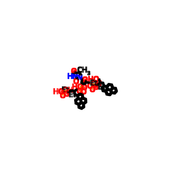 CCC(CC)(CC(COP(=O)(O)OC1CC(N2CC(C)C(=O)NC2=O)OC1COP(=O)(O)OC(CC)(CC)C(CO)Cc1ccc2ccc3cccc4ccc1c2c34)Cc1ccc2ccc3cccc4ccc1c2c34)OP(=O)(O)O